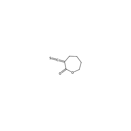 O=C1OCCCCC1=C=S